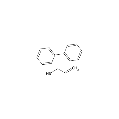 C=CCS.c1ccc(-c2ccccc2)cc1